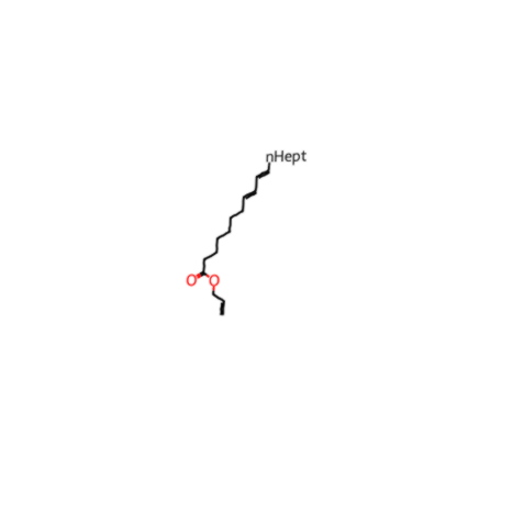 C=CCOC(=O)CCCCCCC=CC=CCCCCCCC